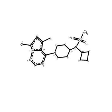 Cc1cc(Cl)n2ncnc(N3CCC(N(C4CCC4)S(N)(=O)=O)CC3)c12